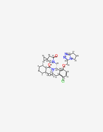 C[C@H]1CCCC[C@H]1C(=O)N1CCc2c(Cl)ccc(OCc3nnc4n3CCC4)c2[C@H]1CN1CC2(CC2)CC1=O